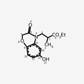 CCOC(=O)C(C)CN1C(=O)COc2ccc(O)cc21